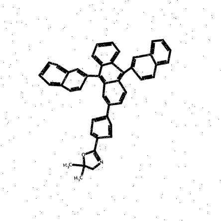 CC1(C)CN=C(c2ccc(-c3ccc4c(-c5ccc6ccccc6c5)c5ccccc5c(-c5ccc6ccccc6c5)c4c3)cc2)O1